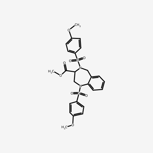 COC(=O)C1CN(S(=O)(=O)c2ccc(OC)cc2)c2ccccc2CN1S(=O)(=O)c1ccc(OC)cc1